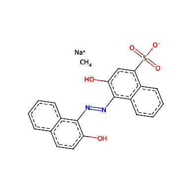 C.O=S(=O)([O-])c1cc(O)c(/N=N/c2c(O)ccc3ccccc23)c2ccccc12.[Na+]